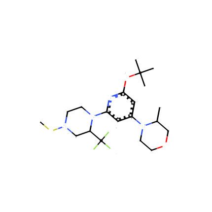 CSN1CCN(c2cc(N3CCOCC3C)cc(OC(C)(C)C)n2)C(C(F)(F)F)C1